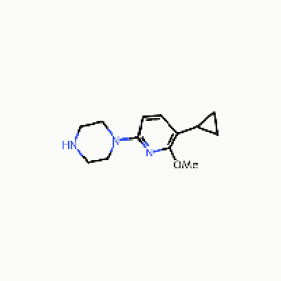 COc1nc(N2CCNCC2)ccc1C1CC1